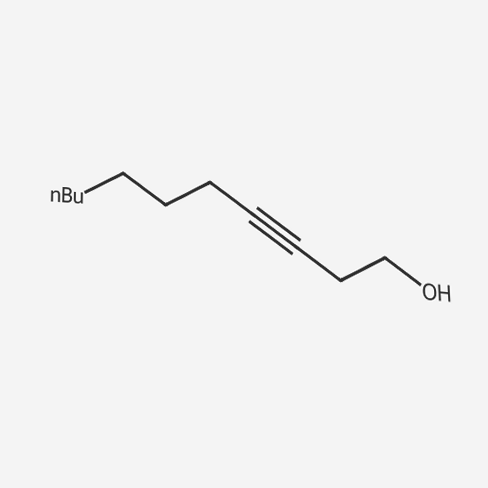 CCCCCCCC#CCCO